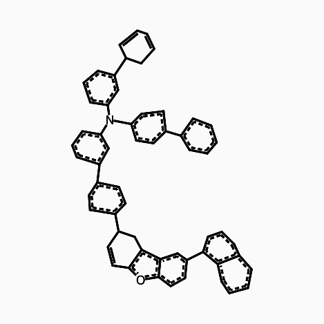 C1=CCC(c2cccc(N(c3ccc(-c4ccccc4)cc3)c3cccc(-c4ccc(C5C=Cc6oc7ccc(-c8cccc9ccccc89)cc7c6C5)cc4)c3)c2)C=C1